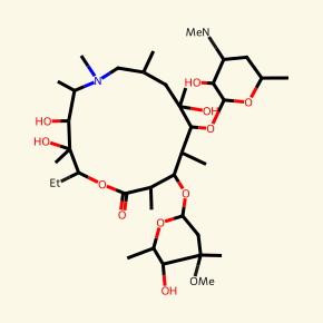 CCC1OC(=O)C(C)C(OC2CC(C)(OC)C(O)C(C)O2)C(C)C(OC2OC(C)CC(NC)C2O)C(C)(O)CC(C)CN(C)C(C)C(O)C1(C)O